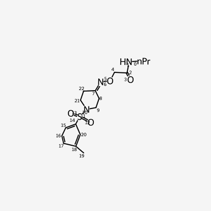 CCCNC(=O)CON=C1CCN(S(=O)(=O)c2cccc(C)c2)CC1